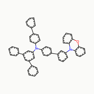 c1ccc(-c2ccc(N(c3ccc(-c4cccc(N5c6ccccc6Oc6ccccc65)c4)cc3)c3cc(-c4ccccc4)cc(-c4ccccc4)c3)cc2)cc1